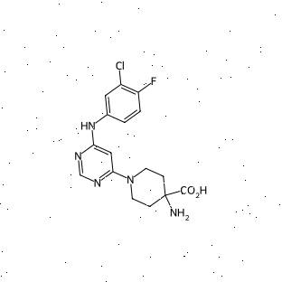 NC1(C(=O)O)CCN(c2cc(Nc3ccc(F)c(Cl)c3)ncn2)CC1